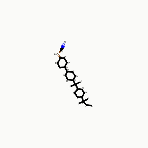 CCC(C)(C)C1CCC(C(C)(C)C2CCC(C3CCC(SC#N)CC3)CC2)CC1